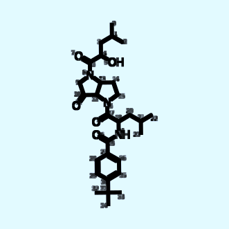 CC(C)CC(O)C(=O)N1CC(=O)C2C1CCN2C(=O)C(CC(C)C)NC(=O)c1ccc(C(C)(C)C)cc1